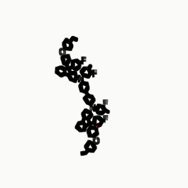 C=Cc1ccc(Oc2ccc(C3(c4ccc(F)cc4)c4ccccc4-c4ccc(N(c5ccc(-c6ccc(N(c7ccc(C)c(F)c7)c7ccc8c(c7)C(c7ccc(F)cc7)(c7ccc(Oc9ccc(C=C)cc9)cc7)c7ccccc7-8)cc6)cc5)c5ccc(C)c(F)c5)cc43)cc2)cc1